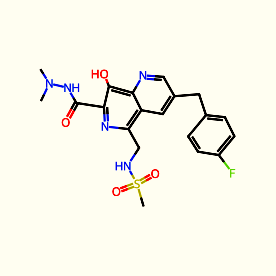 CN(C)NC(=O)c1nc(CNS(C)(=O)=O)c2cc(Cc3ccc(F)cc3)cnc2c1O